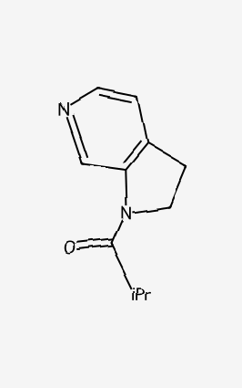 CC(C)C(=O)N1CCc2ccncc21